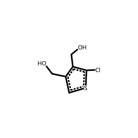 OCc1csc(Cl)c1CO